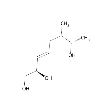 CC(C/C=C/[C@@H](O)CO)[C@H](C)O